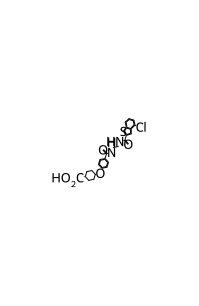 O=C(NCCNC(=O)c1cc2c(Cl)cccc2s1)c1ccc(O[C@H]2CC[C@@H](C(=O)O)CC2)cc1